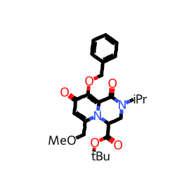 COCc1cc(=O)c(OCc2ccccc2)c2n1C(C(=O)OC(C)(C)C)CN(C(C)C)C2=O